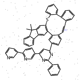 CC1(C)c2ccccc2-c2cc3c(cc21)Sc1ccccc1-c1ccccc1/C=C\c1ccc(-c2cc(-c4ccc(-c5cccnc5)nc4)nc(-c4ccccc4)n2)cc1-3